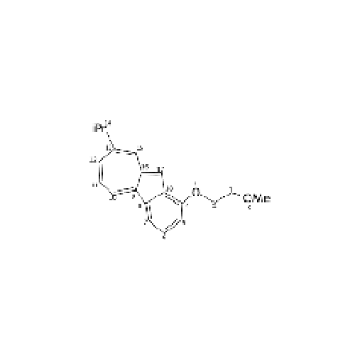 COCCOc1cccc2c3cccc(C(C)C)cc-3cc12